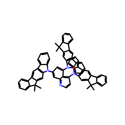 CC1(C)c2ccccc2-c2cc3c4ccccc4n(-c4cc(-n5c6ccccc6c6cc7c(cc65)C(C)(C)c5ccccc5-7)c5c(-n6c7ccccc7c7cc8c(cc76)C(C)(C)c6ccccc6-8)ccnc5c4)c3cc21